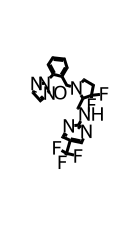 O=C(c1ccccc1-n1nccn1)N1CCC(F)(F)C1CNc1ncc(C(F)(F)F)cn1